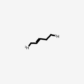 [2H]CC=CCC[2H]